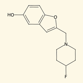 Oc1ccc2oc(CN3CCC(F)CC3)cc2c1